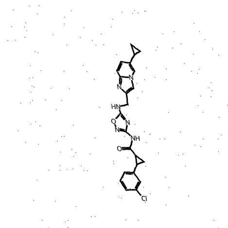 O=C(Nc1noc(NCc2cn3cc(C4CC4)ccc3n2)n1)C1CC1c1cccc(Cl)c1